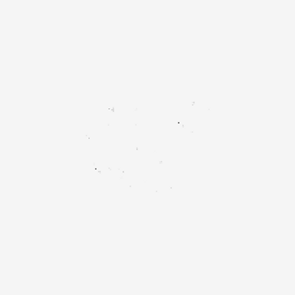 N#Cc1c(C2CCCNC2)cc(-c2c(O)cccc2OCCN2CCCCC2)nc1N